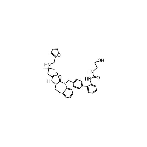 CC(C)(CC(=O)N[C@@H]1CCc2ccccc2N(Cc2ccc(-c3ccccc3NC(=O)NCCO)cc2)C1=O)NCc1ccco1